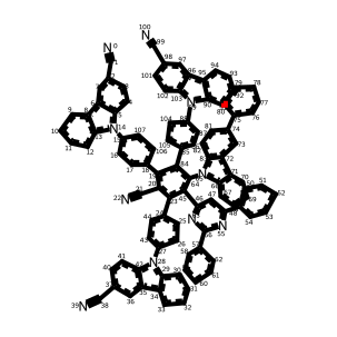 N#Cc1ccc2c(c1)c1ccccc1n2-c1ccc(-c2c(C#N)c(-c3ccc(-n4c5ccccc5c5cc(C#N)ccc54)cc3)c(-c3cc(-c4ccccc4)nc(-c4ccccc4)n3)c(-n3c4ccccc4c4cc(-c5ccccc5)ccc43)c2-c2ccc(-n3c4ccccc4c4cc(C#N)ccc43)cc2)cc1